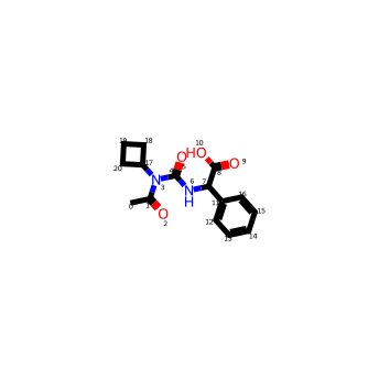 CC(=O)N(C(=O)NC(C(=O)O)c1ccccc1)C1CCC1